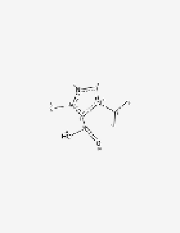 CC(C)n1cnc(Cl)c1C(=O)O